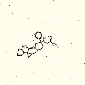 CC(=O)CNC1(c2ccccc2)CCN(CC2CC2(C(=O)O)c2ccccc2)CC1